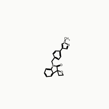 Cn1cc(-c2ccc(CN3C(=O)C4(CCO4)c4ccccc43)cc2)cn1